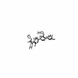 COC[C@H](C)Nc1nnc(-c2ccc(-n3cnc(C)c3)c(CO)n2)cc1C